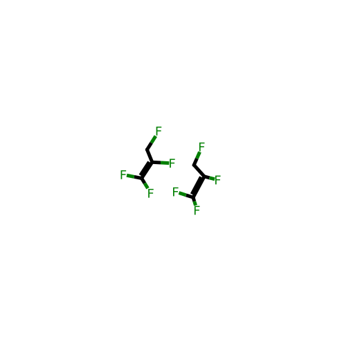 FCC(F)=C(F)F.FCC(F)=C(F)F